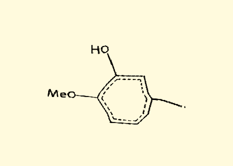 [CH2]c1ccc(OC)c(O)c1